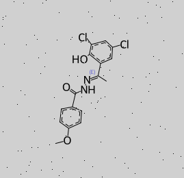 COc1ccc(C(=O)N/N=C(\C)c2cc(Cl)cc(Cl)c2O)cc1